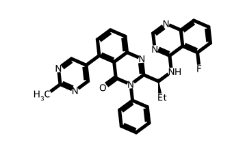 CC[C@H](Nc1ncnc2cccc(F)c12)c1nc2cccc(-c3cnc(C)nc3)c2c(=O)n1-c1ccccc1